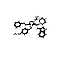 COc1ccc(Cn2c(CCc3ccccc3)nnc2[C@@H](Cc2c[nH]c3ccccc23)N2CCCC[C@H]2C(N)=O)cc1